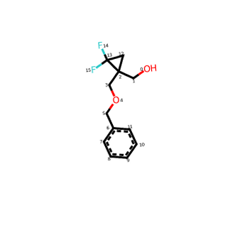 OCC1(COCc2ccccc2)CC1(F)F